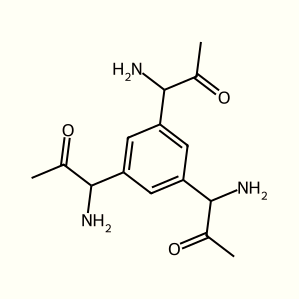 CC(=O)C(N)c1cc(C(N)C(C)=O)cc(C(N)C(C)=O)c1